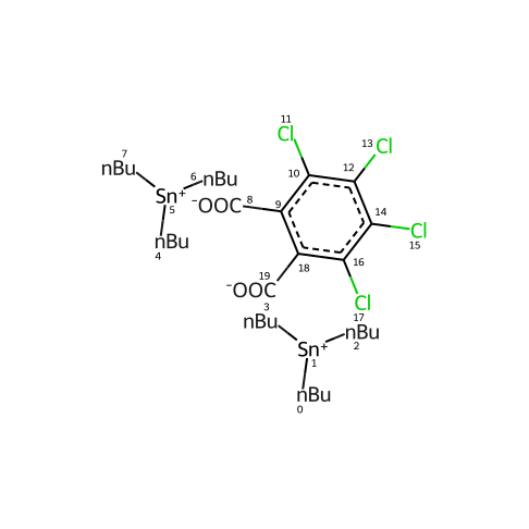 CCC[CH2][Sn+]([CH2]CCC)[CH2]CCC.CCC[CH2][Sn+]([CH2]CCC)[CH2]CCC.O=C([O-])c1c(Cl)c(Cl)c(Cl)c(Cl)c1C(=O)[O-]